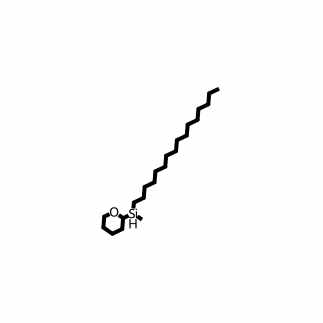 CCCCCCCCCCCCCCCC[SiH](C)C1CCCCO1